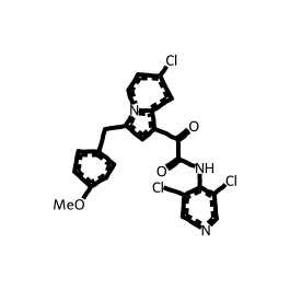 COc1ccc(Cc2cc(C(=O)C(=O)Nc3c(Cl)cncc3Cl)c3cc(Cl)ccn23)cc1